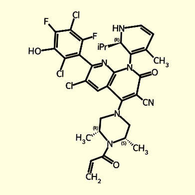 C=CC(=O)N1[C@H](C)CN(c2c(C#N)c(=O)n(C3=C(C)C=CN[C@@H]3C(C)C)c3nc(-c4c(F)c(Cl)c(F)c(O)c4Cl)c(Cl)cc23)C[C@@H]1C